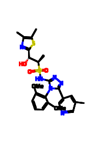 COc1cccc(OC)c1-n1c(NS(=O)(=O)[C@H](C)[C@H](O)c2nc(C)c(C)s2)nnc1-c1cncc(C)c1